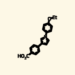 CCOc1ccc(-n2ccc(-c3ccc(C(=O)O)cc3)c2)cc1